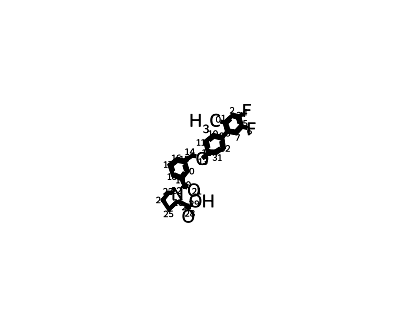 Cc1cc(F)c(F)cc1-c1ccc(OCc2cccc(C(=O)N3CCCC3C(=O)O)c2)cc1